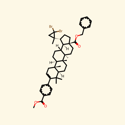 COC(=O)c1ccc(C2=CC[C@]3(C)[C@H]4CC[C@@H]5[C@H]6[C@H](C7(C)CC7(Br)Br)CC[C@]6(C(=O)OCc6ccccc6)CC[C@@]5(C)[C@]4(C)CC[C@H]3C2(C)C)cc1